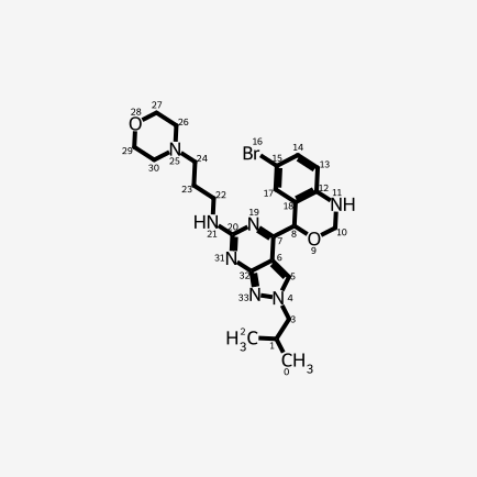 CC(C)Cn1cc2c(C3OCNc4ccc(Br)cc43)nc(NCCCN3CCOCC3)nc2n1